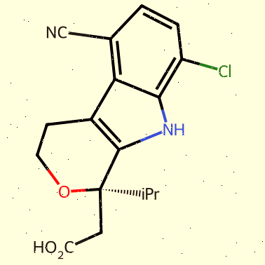 CC(C)[C@]1(CC(=O)O)OCCc2c1[nH]c1c(Cl)ccc(C#N)c21